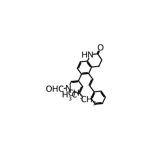 CC(C)=C/C(=C\N(C)C=O)c1ccc2c(c1/C=C/c1ccccc1)CCC(=O)N2